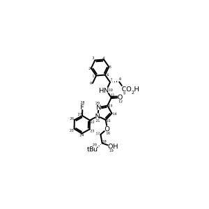 Cc1ccccc1[C@H](CC(=O)O)NC(=O)c1cc(OC[C@H](O)C(C)(C)C)n(-c2ccccc2F)n1